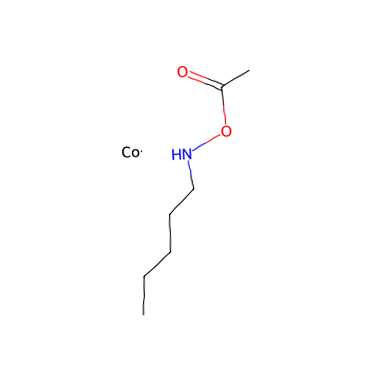 CCCCCNOC(C)=O.[Co]